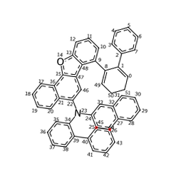 C1=C(c2ccccc2)C(c2cccc3oc4c5ccccc5c(N(c5ccc6ccccc6c5)c5ccccc5-c5ccccc5)cc4c23)=CCC1